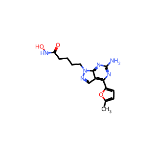 Cc1ccc(-c2nc(N)nc3c2cnn3CCCCC(=O)NO)o1